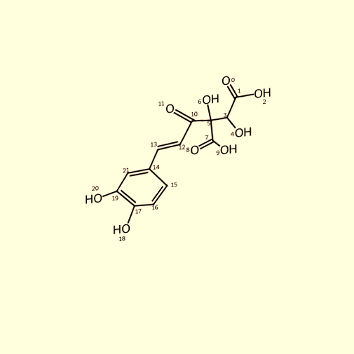 O=C(O)C(O)C(O)(C(=O)O)C(=O)/C=C/c1ccc(O)c(O)c1